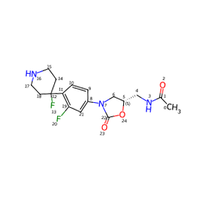 CC(=O)NC[C@H]1CN(c2ccc(C3(F)CCNCC3)c(F)c2)C(=O)O1